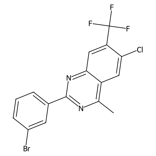 Cc1nc(-c2cccc(Br)c2)nc2cc(C(F)(F)F)c(Cl)cc12